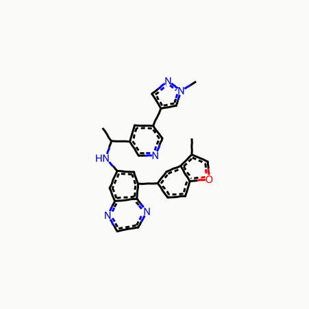 Cc1coc2ccc(-c3cc(NC(C)c4cncc(-c5cnn(C)c5)c4)cc4nccnc34)cc12